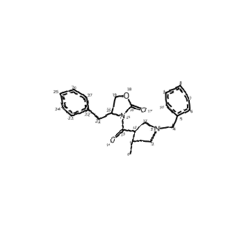 CC1CN(Cc2ccccc2)CC1C(=O)N1C(=O)OCC1Cc1ccccc1